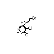 O=c1[nH]ncc(NCCBr)c1Cl